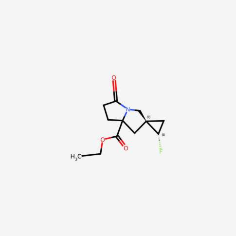 CCOC(=O)C12CCC(=O)N1C[C@]1(C[C@@H]1F)C2